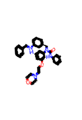 O=C(Nc1ccccc1)N(C[C@@H]1CCC[C@H](NCc2ccccc2)C1)c1cccc(OCCN2CCOCC2)c1